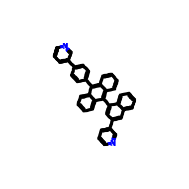 c1cncc(-c2ccc(-c3c4ccccc4c(-c4cc(-c5cccnc5)cc5ccccc45)c4ccccc34)cc2)c1